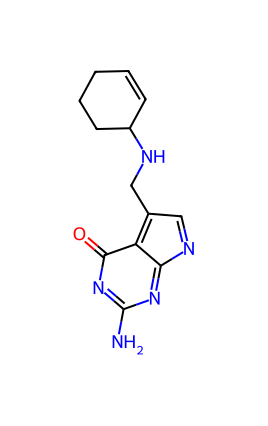 NC1=NC(=O)C2=C(CNC3C=CCCC3)C=NC2=N1